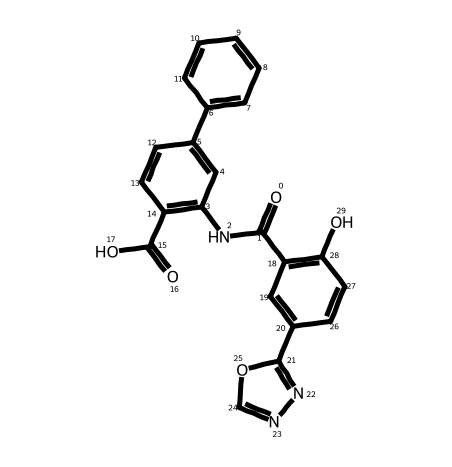 O=C(Nc1cc(-c2ccccc2)ccc1C(=O)O)c1cc(-c2nnco2)ccc1O